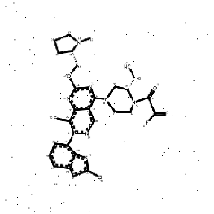 C=C(F)C(=O)N1CCN(c2nc(OC[C@@H]3CCCN3C)nc3c(F)c(-c4cccc5cc(Cl)sc45)ncc23)C[C@@H]1CC#N